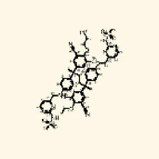 CCOc1c(Cl)cc(C(C)(CCC(C)(c2ccc(NCc3ccnc(NS(C)(=O)=O)n3)cc2)c2cc(Cl)c(OCCCl)c(C#N)c2)c2ccc(OCc3ccnc(NS(C)(=O)=O)n3)cc2)cc1C#N